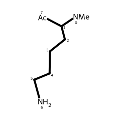 CNC(CCCCN)C(C)=O